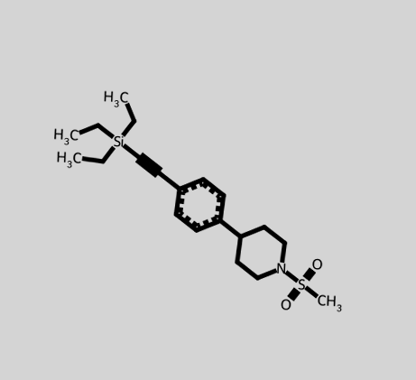 CC[Si](C#Cc1ccc(C2CCN(S(C)(=O)=O)CC2)cc1)(CC)CC